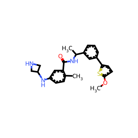 COc1ccc(-c2cccc(C(C)NC(=O)c3cc(NC4CNC4)ccc3C)c2)s1